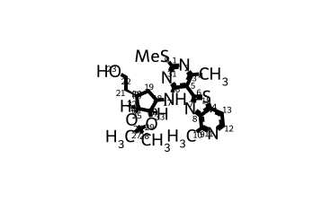 CSc1nc(C)c(-c2nc3c(C)nccc3s2)c(NC2C[C@H](CCO)[C@H]3OC(C)(C)O[C@@H]23)n1